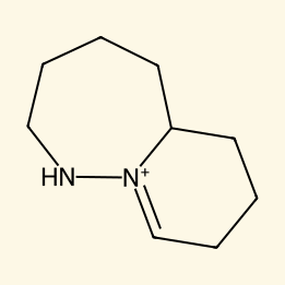 C1=[N+]2NCCCCC2CCC1